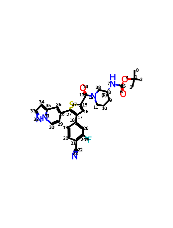 CC(C)(C)OC(=O)N[C@@H]1CCCN(C(=O)c2cc(-c3ccc(C#N)c(F)c3)c(-c3ccn4nccc4c3)s2)C1